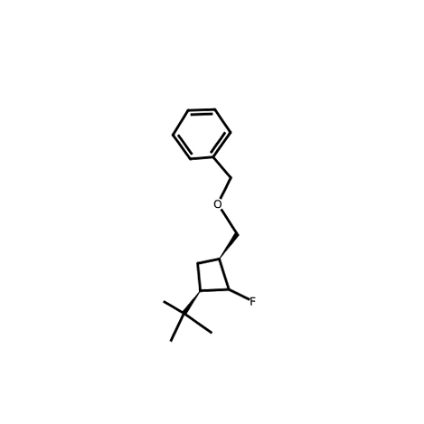 CC(C)(C)[C@H]1C[C@@H](COCc2ccccc2)C1F